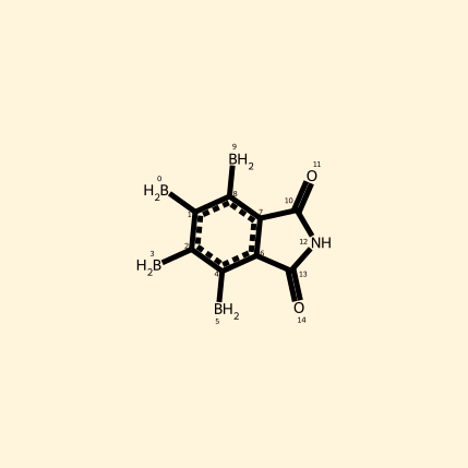 Bc1c(B)c(B)c2c(c1B)C(=O)NC2=O